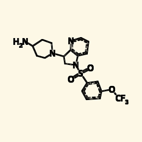 NC1CCN(C2CN(S(=O)(=O)c3cccc(OC(F)(F)F)c3)c3cccnc32)CC1